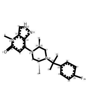 C[C@@H]1CN(c2cc(=O)n(C)c3c[nH]nc23)[C@@H](C)CN1C(C)(C)c1ccc(F)cc1